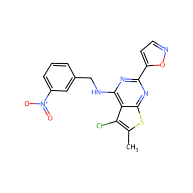 Cc1sc2nc(-c3ccno3)nc(NCc3cccc([N+](=O)[O-])c3)c2c1Cl